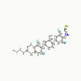 CCCCC1CCc2c(cc(F)c(-c3ccc(-c4cc(F)c(N=C=S)c(F)c4)c(C)c3)c2F)C1